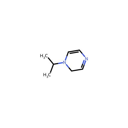 CC(C)N1C=CN=CC1